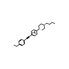 CCCC[C@H]1CC[C@H](C23CCC(C#Cc4ccc(CC)cc4)(CC2)CC3)CC1